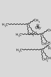 CCCCCCCCCCCCCC[P+](CCCCCC)(CCCCCC)CCCCCC.CCCCCCCCCCCCCC[P+](CCCCCC)(CCCCCC)CCCCCC.CCCCCCCCCCCCCC[P+](CCCCCC)(CCCCCC)CCCCCC.[O-]B([O-])[O-]